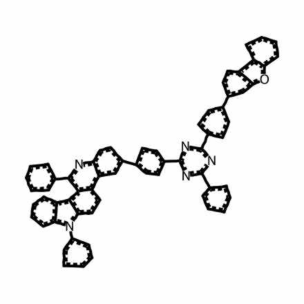 c1ccc(-c2nc(-c3ccc(-c4ccc5c(c4)oc4ccccc45)cc3)nc(-c3ccc(-c4ccc5nc(-c6ccccc6)c6c(ccc7c6c6ccccc6n7-c6ccccc6)c5c4)cc3)n2)cc1